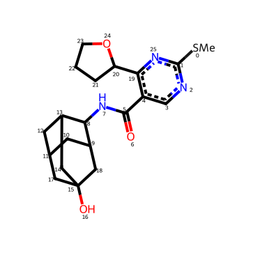 CSc1ncc(C(=O)NC2C3CC4CC2CC(O)(C4)C3)c(C2CCCO2)n1